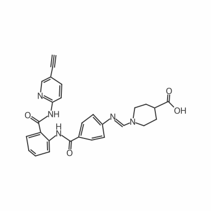 C#Cc1ccc(NC(=O)c2ccccc2NC(=O)c2ccc(N=CN3CCC(C(=O)O)CC3)cc2)nc1